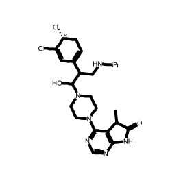 CC(C)NCC(C1=CC[C@@H](Cl)C(Cl)=C1)C(O)N1CCN(c2ncnc3c2C(C)C(=O)N3)CC1